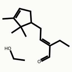 CC/C(C=O)=C\CC1CC=C(C)C1(C)C.CCO